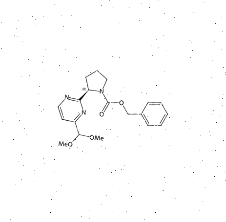 COC(OC)c1ccnc([C@H]2CCCN2C(=O)OCc2ccccc2)n1